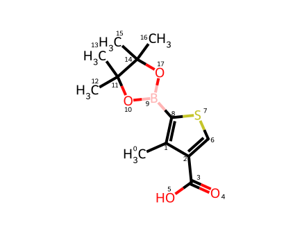 Cc1c(C(=O)O)csc1B1OC(C)(C)C(C)(C)O1